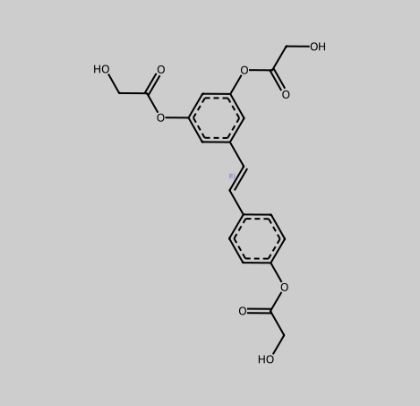 O=C(CO)Oc1ccc(/C=C/c2cc(OC(=O)CO)cc(OC(=O)CO)c2)cc1